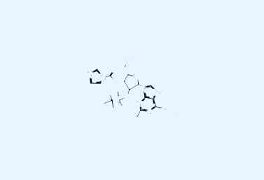 CC(C)(C)[Si](C)(C)OC1[C@H](n2cnc3c(N)nc(Cl)nc32)O[C@H](CO)[C@H]1OC(=S)n1ccnc1